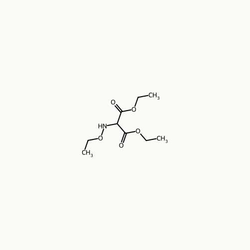 CCONC(C(=O)OCC)C(=O)OCC